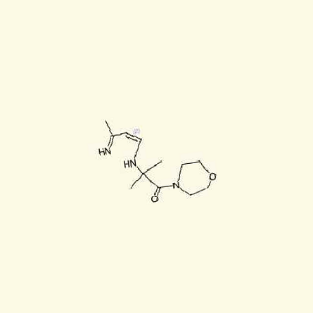 CC(=N)/C=C\NC(C)(C)C(=O)N1CCOCC1